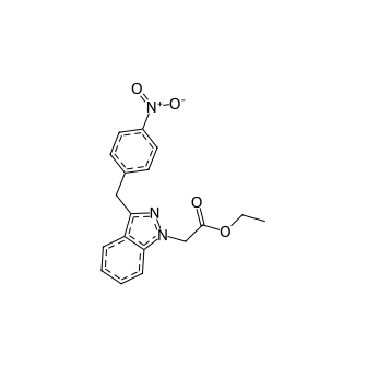 CCOC(=O)Cn1nc(Cc2ccc([N+](=O)[O-])cc2)c2ccccc21